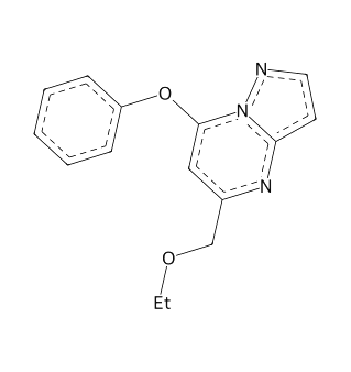 CCOCc1cc(Oc2ccccc2)n2nccc2n1